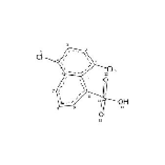 [O]c1ccc(Cl)c2cccc(S(=O)(=O)O)c12